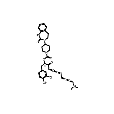 C[S+]([O-])N=C=C=CN=C=C=NC(=O)[C@@H](Cc1ccc(O)c(Cl)c1)OC(=O)N1CCC(N2CCc3ccccc3NC2=O)CC1